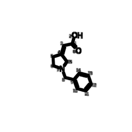 O=C(O)C=C1CCN(Cc2ccccc2)C1